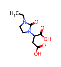 CCN1CCN(C(CC(=O)O)C(=O)O)C1=O